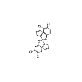 Clc1ccc([O][Zr]([O]c2ccc(Cl)c(Cl)c2)([C]2=CC=CC2)[C]2=CC=CC2)cc1Cl